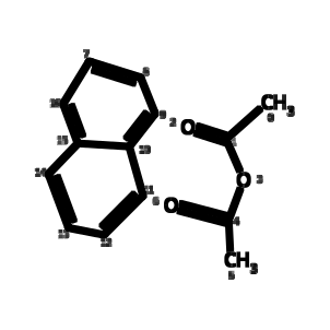 CC(=O)OC(C)=O.c1ccc2ccccc2c1